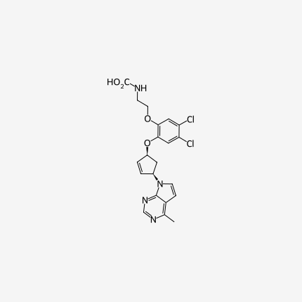 Cc1ncnc2c1ccn2[C@H]1C=C[C@@H](Oc2cc(Cl)c(Cl)cc2OCCNC(=O)O)C1